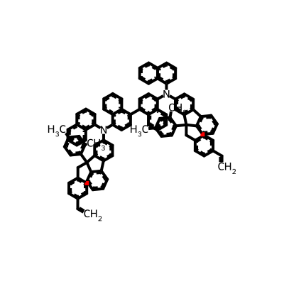 C=Cc1ccc(CC2(c3ccc(C)cc3C)c3ccccc3-c3ccc(N(c4cccc5ccccc45)c4ccc(-c5ccc(N(c6ccc7c(c6)C(Cc6ccc(C=C)cc6)(c6ccc(C)cc6C)c6ccccc6-7)c6cccc7ccccc67)c6ccccc56)c5ccccc45)cc32)cc1